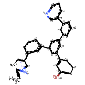 C=C/N=C\C(=C/C)c1cccc(-c2cc(C3=CC(Br)=CCC3)cc(-c3cccc(-c4cccnc4)c3)c2)c1